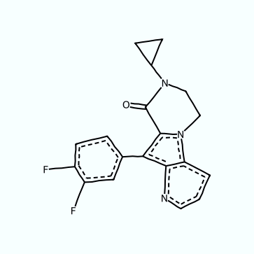 O=C1c2c(-c3ccc(F)c(F)c3)c3ncccc3n2CCN1C1CC1